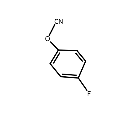 N#COc1ccc(F)cc1